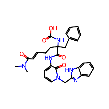 CN(C)C(=O)C=CCCC(Cc1ccccc1)(NC(=O)O)C(=O)Nc1cccn(Cc2nc3ccccc3[nH]2)c1=O